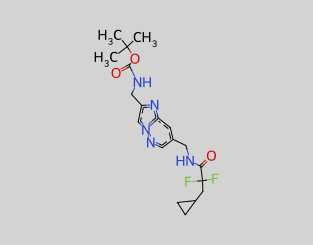 CC(C)(C)OC(=O)NCc1cn2ncc(CNC(=O)C(F)(F)CC3CC3)cc2n1